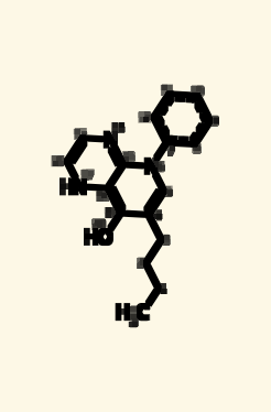 CCCCC1=CN(c2ccccc2)C2=NC=CNC2=C1O